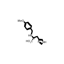 COc1ccc(CN[C@@H](Cc2c[nH]cn2)C(=O)O)cc1